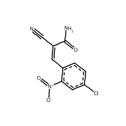 N#CC(=Cc1ccc(Cl)cc1[N+](=O)[O-])C(N)=O